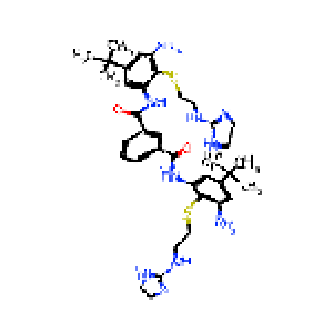 CC(C)(C)c1cc(N)c(SCCNC2=NCCN2)c(NC(=O)c2cccc(C(=O)Nc3cc(C(C)(C)C)cc(N)c3SCCNC3=NCCN3)c2)c1